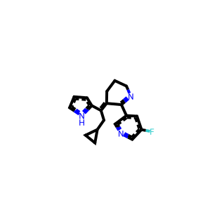 Fc1cncc(C2=NCCCC2=C(CC2CC2)c2ccc[nH]2)c1